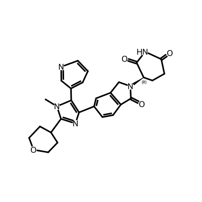 Cn1c(C2CCOCC2)nc(-c2ccc3c(c2)CN([C@@H]2CCC(=O)NC2=O)C3=O)c1-c1cccnc1